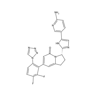 Nc1ccc(-c2cnc([C@@H]3CCc4cc(-c5c(-n6cnnn6)ccc(F)c5F)cc(=O)n43)[nH]2)cn1